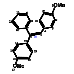 COc1ccc(/C=C(\c2ccccc2)c2ccc(OC)cc2)cc1